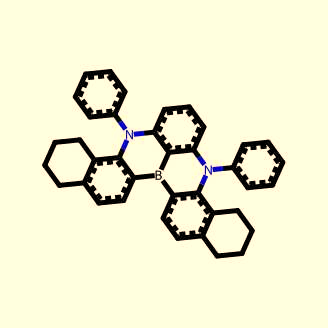 c1ccc(N2c3cccc4c3B(c3ccc5c(c32)CCCC5)c2ccc3c(c2N4c2ccccc2)CCCC3)cc1